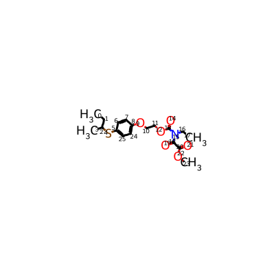 CCC(C)Sc1ccc(OCCOC(=O)N(CC)C(=O)C(=O)OC)cc1